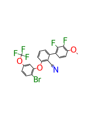 COc1ccc(-c2cccc(Oc3cc(OC(F)(F)F)ccc3Br)c2C#N)c(F)c1F